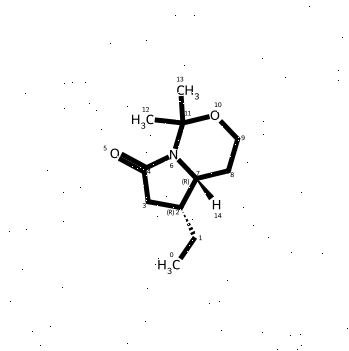 CC[C@@H]1CC(=O)N2[C@@H]1CCOC2(C)C